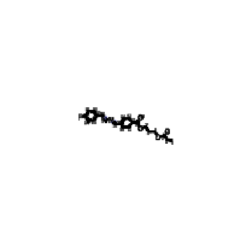 C=CC(=O)OCCCOC(=O)C1C=CC(/C=N/N=C/c2ccc(F)cc2)=CC1